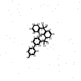 Cc1ccc(-c2ccc3c(c2)C(C)(C)C2CC=CC4=C2N3C2=C(CCC=C2)C4(C)C)cc1